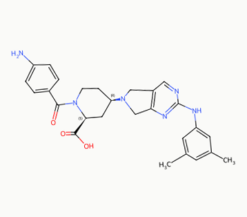 Cc1cc(C)cc(Nc2ncc3c(n2)CN([C@@H]2CCN(C(=O)c4ccc(N)cc4)[C@H](C(=O)O)C2)C3)c1